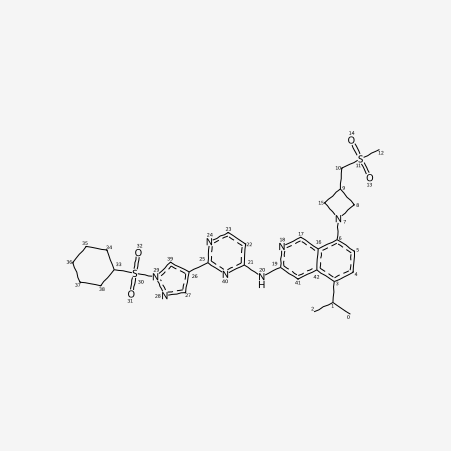 CC(C)c1ccc(N2CC(CS(C)(=O)=O)C2)c2cnc(Nc3ccnc(-c4cnn(S(=O)(=O)C5CCCCC5)c4)n3)cc12